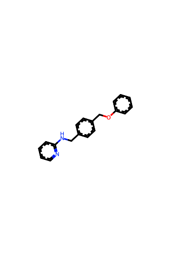 c1ccc(OCc2ccc(CNc3ccccn3)cc2)cc1